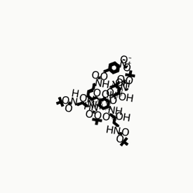 CN(C(=O)OC(C)(C)C)[C@@H]1[C@@H](O)[C@@H](O[C@@H]2[C@@H](O)[C@H](C3OC(CNC(=O)OCc4ccc([N+](=O)[O-])cc4)=CC[C@H]3NCC(O)CNC(=O)OC(C)(C)C)[C@@H](NC(=O)OC(C)(C)C)C[C@H]2NC(=O)[C@@H](O)CCNC(=O)OC(C)(C)C)OC[C@]1(C)O